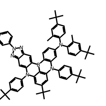 Cc1cc(C(C)(C)C)ccc1N(c1ccc2c(c1)N(c1ccc(C(C)(C)C)cc1)c1cc(C(C)(C)C)cc3c1B2c1cc2nn(-c4ccccc4)nc2cc1N3c1ccc(C(C)(C)C)cc1)c1ccc(C(C)(C)C)cc1C